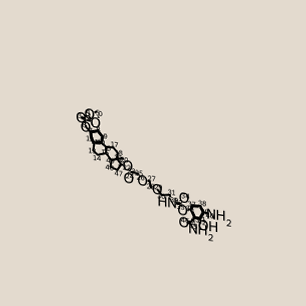 COP(=O)(OC)Oc1ccc2c(c1)CCC1C2CCC2(C)C(OC(=O)COCCOCCNC(=O)Oc3ccc(N)c(O)c3C(N)=O)CCC12